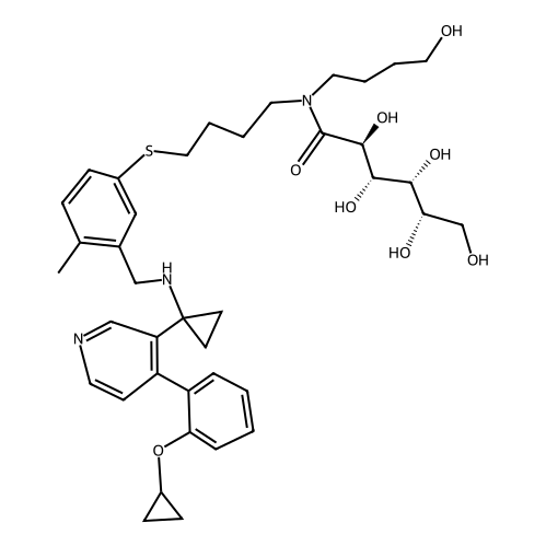 Cc1ccc(SCCCCN(CCCCO)C(=O)[C@@H](O)[C@@H](O)[C@H](O)[C@@H](O)CO)cc1CNC1(c2cnccc2-c2ccccc2OC2CC2)CC1